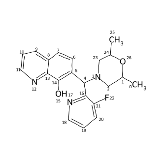 CC1CN(C(c2ccc3cccnc3c2O)c2ncccc2F)CC(C)O1